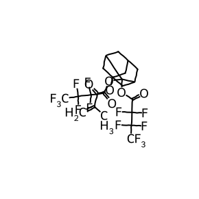 C=C(C)C(=O)OC12CC3CC(C1)C(OC(=O)C(F)(F)C(F)(F)C(F)(F)F)(OC(=O)C(F)(F)C(F)(F)C(F)(F)F)C(C3)C2